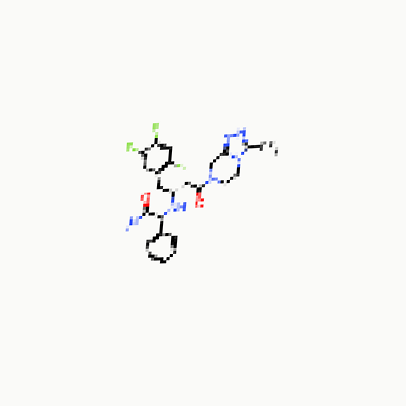 NC(=O)[C@@H](N[C@@H](CC(=O)N1CCn2c(nnc2C(F)(F)F)C1)Cc1cc(F)c(F)cc1F)c1ccccc1